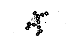 CC1(C)c2cc(N(c3ccc(-c4cccc5c4oc4ccccc45)cc3)c3ccc(-c4cccc5c4oc4ccccc45)cc3)ccc2-c2cc(-c3ccc(-c4ccccc4)cc3)cc(-c3ccccc3)c21